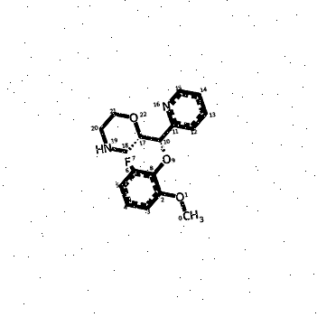 COc1cccc(F)c1O[C@@H](c1ccccn1)[C@@H]1CNCCO1